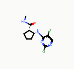 CNC(=O)[C@H]1CCC[C@H]1Nc1nc(Cl)ncc1Cl